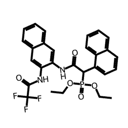 CCOP(=O)(OCC)C(C(=O)Nc1cc2ccccc2cc1NC(=O)C(F)(F)F)c1cccc2ccccc12